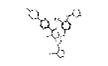 CCC1CCCN1CCS(C)(Cc1ccc(OC2CCOC2)c(C(F)(F)F)c1)NN(C)C(=O)c1cnc(N2CCC(C)CC2)cn1